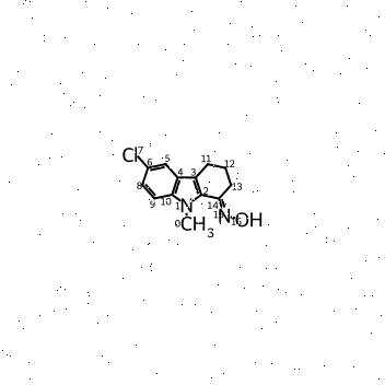 Cn1c2c(c3cc(Cl)ccc31)CCCC2=NO